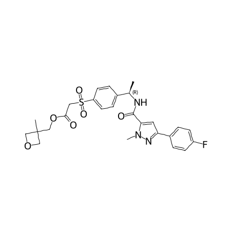 C[C@@H](NC(=O)c1cc(-c2ccc(F)cc2)nn1C)c1ccc(S(=O)(=O)CC(=O)OCC2(C)COC2)cc1